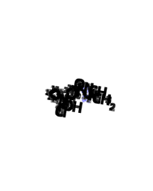 C=N/C=C\C(=N/C)C(=O)N1CCC(N(c2ccccc2)C(O)CCl)CC1